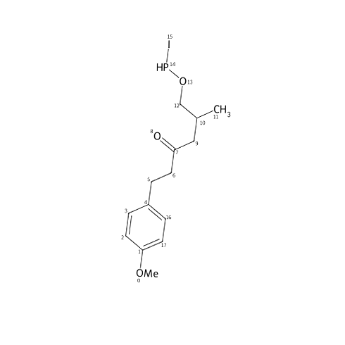 COc1ccc(CCC(=O)CC(C)COPI)cc1